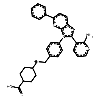 Nc1ncccc1-c1nc2ccc(-c3ccccc3)nc2n1-c1ccc(CNC2CCC(C(=O)O)CC2)cc1